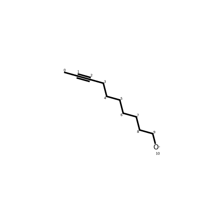 CC#CCCCCCCC[O]